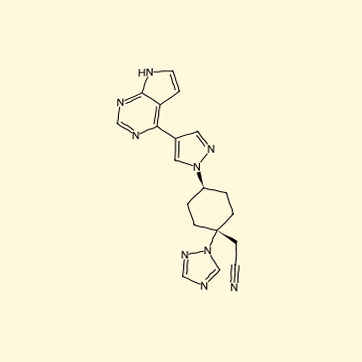 N#CC[C@]1(n2cncn2)CC[C@H](n2cc(-c3ncnc4[nH]ccc34)cn2)CC1